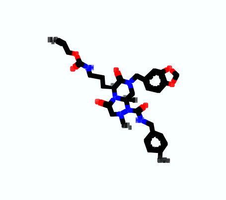 C=CCOC(=O)NCCC[C@H]1C(=O)N(Cc2ccc3c(c2)OCO3)C[C@H]2N1C(=O)CN(C)N2C(=O)NCc1ccc(OC)cc1